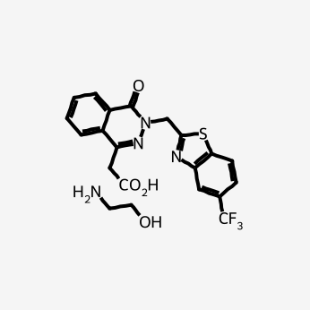 NCCO.O=C(O)Cc1nn(Cc2nc3cc(C(F)(F)F)ccc3s2)c(=O)c2ccccc12